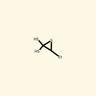 CCC1SC1(S)S